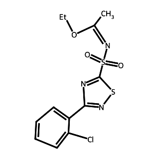 CCOC(C)=NS(=O)(=O)c1nc(-c2ccccc2Cl)ns1